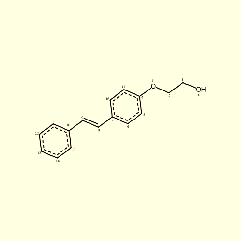 OCCOc1ccc(C=Cc2ccccc2)cc1